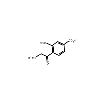 CCCCCCCCCc1cc(C(=O)O)ccc1C(=O)OCCCCC